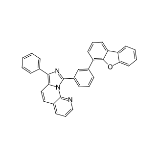 c1ccc(-c2nc(-c3cccc(-c4cccc5c4oc4ccccc45)c3)n3c2ccc2cccnc23)cc1